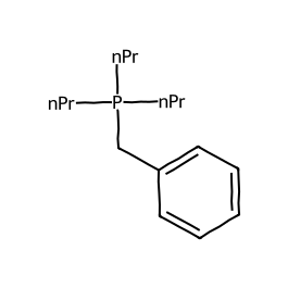 CCC[P](CCC)(CCC)Cc1ccccc1